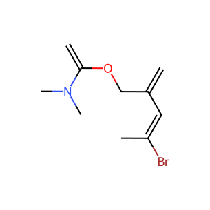 C=C(/C=C(\C)Br)COC(=C)N(C)C